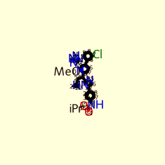 CO[n+]1cc(-c2cc(Cl)ccc2-n2cnnn2)ccc1C(CC1CC1)c1ncc(-c2ccc(NC(=O)OC(C)C)cc2)[nH]1